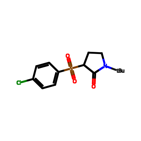 CC(C)(C)N1CCC(S(=O)(=O)c2ccc(Cl)cc2)C1=O